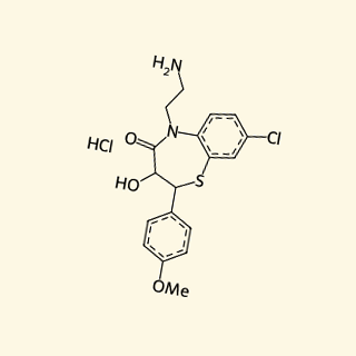 COc1ccc(C2Sc3cc(Cl)ccc3N(CCN)C(=O)C2O)cc1.Cl